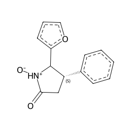 O=C1C[C@@H](c2ccccc2)C(c2ccco2)[NH+]1[O-]